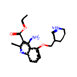 CCOC(=O)c1c(C)nc2cccc(OCC3CCCNC3)c2c1N